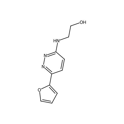 OCCNc1ccc(-c2ccco2)nn1